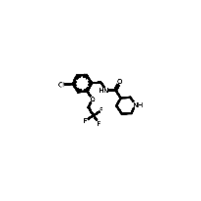 O=C(NCc1ccc(Cl)cc1OCC(F)(F)F)C1CCCNC1